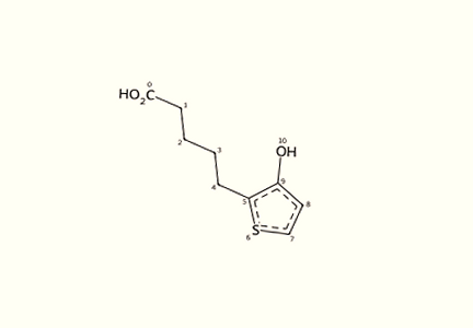 O=C(O)CCCCc1sccc1O